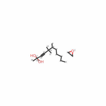 C1CO1.CCCCCC(C)C(C)(C)C#CC(C)(O)O